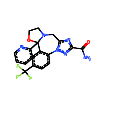 NC(=O)c1nc2n(n1)-c1ccc(C(F)(F)F)cc1C1(c3ccccn3)OCCN1C2